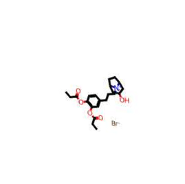 CCC(=O)Oc1ccc(CCC[N+]2(C)C3CCC2CC(O)C3)cc1OC(=O)CC.[Br-]